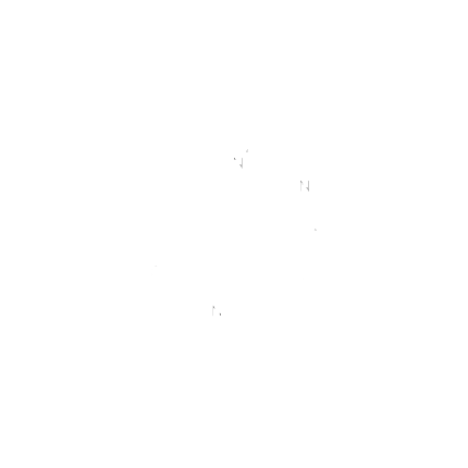 Clc1ccncc1.N#CCC#N